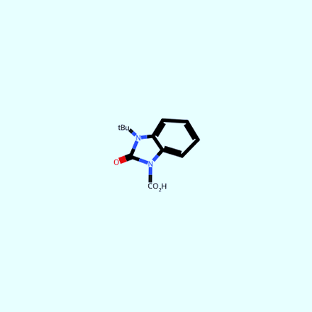 CC(C)(C)n1c(=O)n(C(=O)O)c2ccccc21